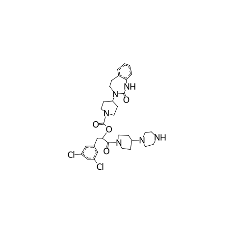 O=C(OC(Cc1cc(Cl)cc(Cl)c1)C(=O)N1CCC(N2CCNCC2)CC1)N1CCC(N2CCc3ccccc3NC2=O)CC1